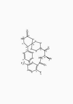 CC(C)[C@@H](NC(=O)c1cc(C(F)(F)F)ccc1F)C(=O)N1CCC2(CC1)CC(=O)NCC2c1ccncc1